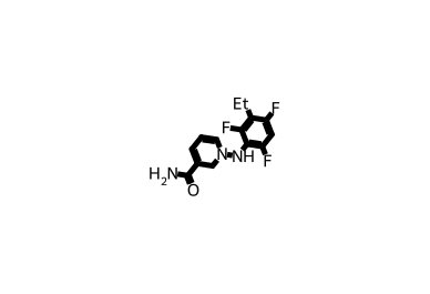 CCc1c(F)cc(F)c(NN2C=CC=C(C(N)=O)C2)c1F